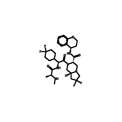 CN[C@@H](C)C(=O)N[C@H](C(=O)N1C[C@H]2CC(F)(F)CN2C[C@H]1C(=O)N[C@@H]1CCOc2ccccc21)C1CCC(F)(F)CC1